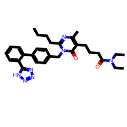 CCCCc1nc(C)c(CCCC(=O)N(CC)CC)c(=O)n1Cc1ccc(-c2ccccc2-c2nnn[nH]2)cc1